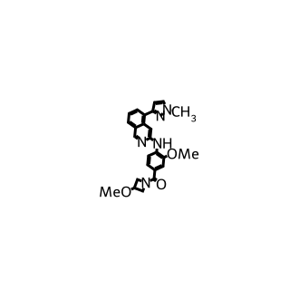 COc1cc(C(=O)N2CC(OC)C2)ccc1Nc1cc2c(-c3ccn(C)n3)cccc2cn1